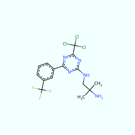 CC(C)(N)CNc1nc(-c2cccc(C(F)(F)F)c2)nc(C(Cl)(Cl)Cl)n1